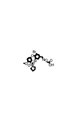 COc1ccc(Oc2c(Br)cc(C=NOCC(=O)O)cc2Br)cc1S(=O)(=O)N1CCCC1